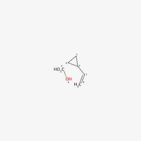 C=CC1CC1.O=C(O)O